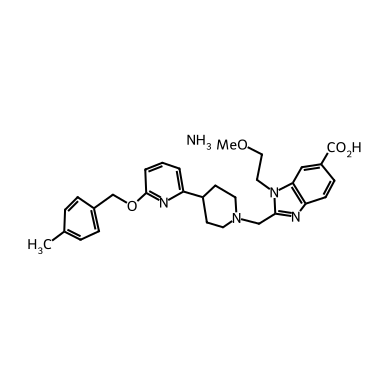 COCCn1c(CN2CCC(c3cccc(OCc4ccc(C)cc4)n3)CC2)nc2ccc(C(=O)O)cc21.N